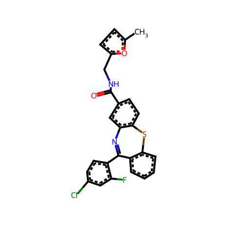 Cc1ccc(CNC(=O)c2ccc3c(c2)N=C(c2ccc(Cl)cc2F)c2ccccc2S3)o1